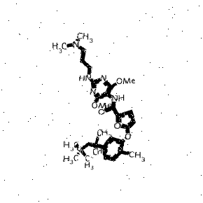 COc1nc(NCCCN(C)C)nc(OC)c1NC(=O)c1ccc(Oc2cc(C(C)(C)C[Si](C)(C)C)ccc2C)o1